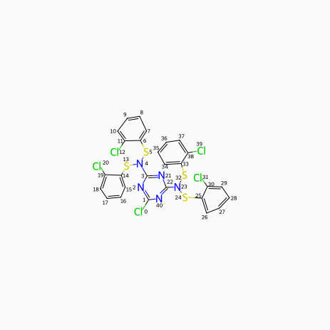 Clc1nc(N(Sc2ccccc2Cl)Sc2ccccc2Cl)nc(N(Sc2ccccc2Cl)Sc2ccccc2Cl)n1